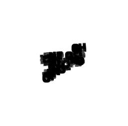 O=C([C@H]1CC[C@H](Oc2cc(-n3c(C(F)F)nc4ccccc43)nc(N3CCOCC3)n2)CC1)N1CCOc2ccc(O)cc21